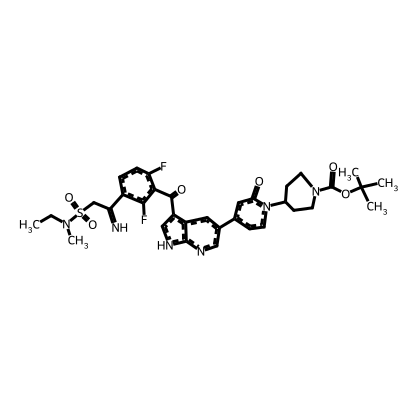 CCN(C)S(=O)(=O)CC(=N)c1ccc(F)c(C(=O)c2c[nH]c3ncc(-c4ccn(C5CCN(C(=O)OC(C)(C)C)CC5)c(=O)c4)cc23)c1F